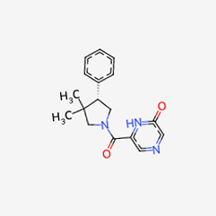 CC1(C)CN(C(=O)c2cncc(=O)[nH]2)C[C@H]1c1ccccc1